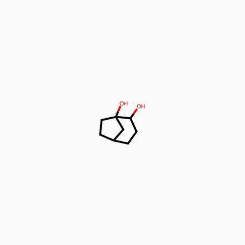 OC1CCC2CCC1(O)C2